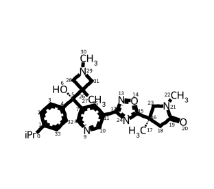 CC(C)c1ccc([C@](O)(c2cncc(-c3noc([C@]4(C)CC(=O)N(C)C4)n3)c2)C2(C)CN(C)C2)cc1